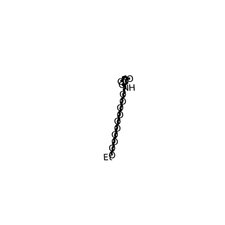 CCOCCOCCOCCOCCOCCOCCOCCOCCOCCOCCNC(=O)CN1C(=O)C=CC1=O